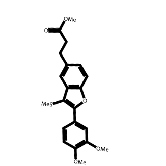 COC(=O)CCc1ccc2oc(-c3ccc(OC)c(OC)c3)c(SC)c2c1